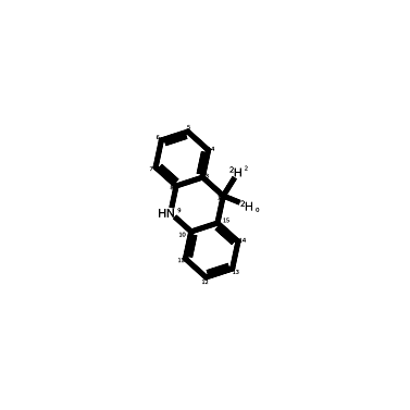 [2H]C1([2H])c2ccccc2Nc2ccccc21